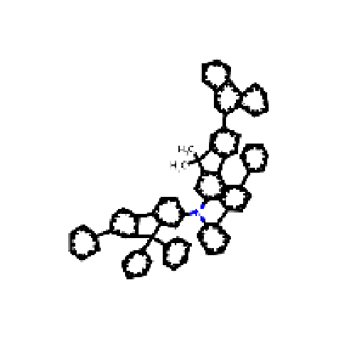 CC1(C)c2cc(-c3cc4ccccc4c4ccccc34)ccc2-c2ccc(N(c3ccc4c(c3)C(c3ccccc3)(c3ccccc3)c3cc(-c5ccccc5)ccc3-4)c3ccccc3-c3ccc(-c4ccccc4)cc3)cc21